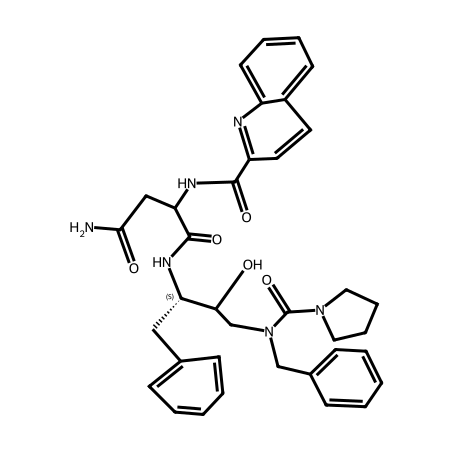 NC(=O)CC(NC(=O)c1ccc2ccccc2n1)C(=O)N[C@@H](Cc1ccccc1)C(O)CN(Cc1ccccc1)C(=O)N1CCCC1